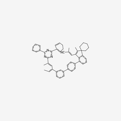 C/C=C(\C=C(/C)c1nc(C2=CCCC=C2)nc(-c2ccccc2)n1)c1cccc(-c2ccc(-c3cccc4c3C(/C=C(\C)C#N)=C(C)C43CCCCC3)cc2)c1